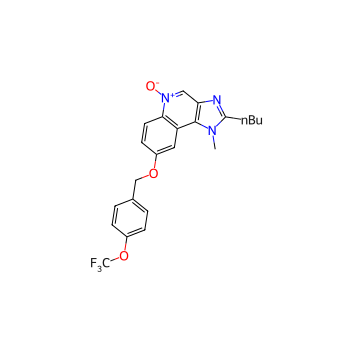 CCCCc1nc2c[n+]([O-])c3ccc(OCc4ccc(OC(F)(F)F)cc4)cc3c2n1C